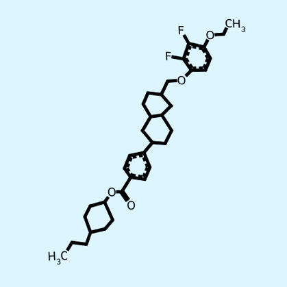 CCCC1CCC(OC(=O)c2ccc(C3CCC4CC(COc5ccc(OCC)c(F)c5F)CCC4C3)cc2)CC1